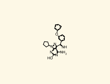 N=C(c1cccc(Oc2ccccc2)c1)c1nn(C2CCCC2)c2nc(O)nc(N)c12